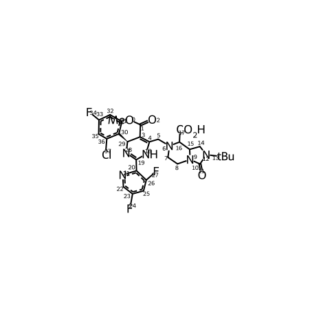 COC(=O)C1=C(CN2CCN3C(=O)N(C(C)(C)C)CC3C2C(=O)O)NC(c2ncc(F)cc2F)=N[C@H]1c1ccc(F)cc1Cl